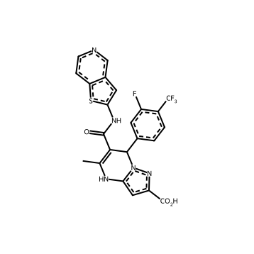 CC1=C(C(=O)Nc2cc3cnccc3s2)C(c2ccc(C(F)(F)F)c(F)c2)n2nc(C(=O)O)cc2N1